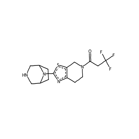 O=C(CC(F)(F)F)N1CCc2nc(N3C4CCC3CNC4)sc2C1